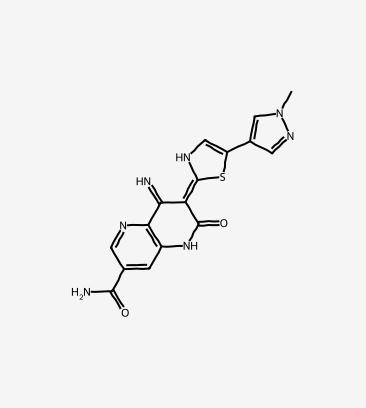 Cn1cc(C2=CN/C(=C3\C(=N)c4ncc(C(N)=O)cc4NC3=O)S2)cn1